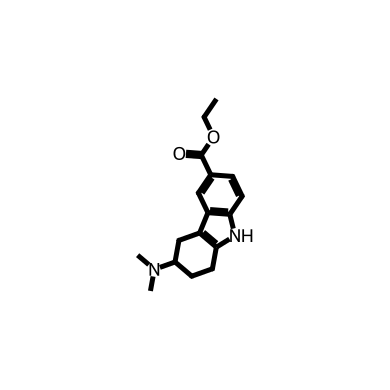 CCOC(=O)c1ccc2[nH]c3c(c2c1)CC(N(C)C)CC3